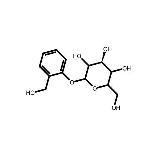 OCc1ccccc1OC1OC(CO)C(O)[C@H](O)C1O